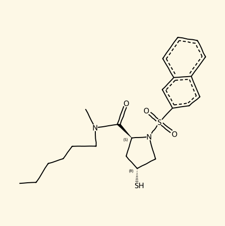 CCCCCCN(C)C(=O)[C@@H]1C[C@@H](S)CN1S(=O)(=O)c1ccc2ccccc2c1